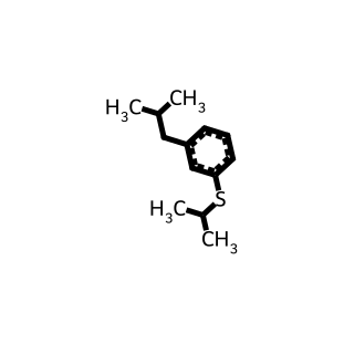 CC(C)Cc1cccc(SC(C)C)c1